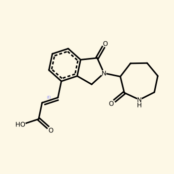 O=C(O)/C=C/c1cccc2c1CN(C1CCCCNC1=O)C2=O